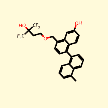 Cc1cccc2c(-c3ccc(COCCC(O)(C(F)(F)F)C(F)(F)F)c4cc(O)ccc34)cccc12